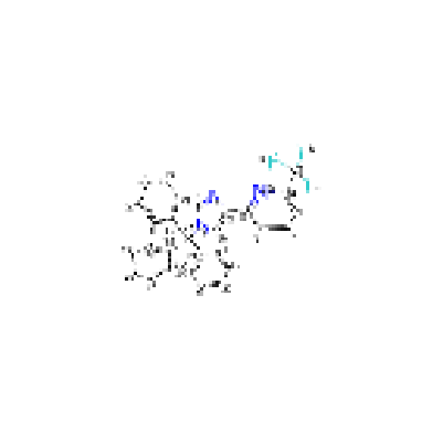 FC(F)(F)c1cccc(-c2cn(C(c3ccccc3)(c3ccccc3)c3ccccc3)cn2)n1